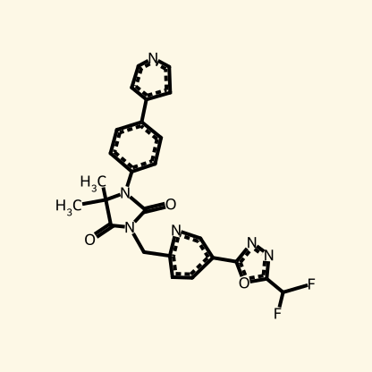 CC1(C)C(=O)N(Cc2ccc(-c3nnc(C(F)F)o3)cn2)C(=O)N1c1ccc(-c2ccncc2)cc1